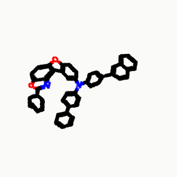 c1ccc(-c2ccc(N(c3ccc(-c4ccc5ccccc5c4)cc3)c3ccc4oc5ccc6oc(-c7ccccc7)nc6c5c4c3)cc2)cc1